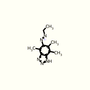 CC/N=N/c1c(C)c(C)c2[nH]nnc2c1C